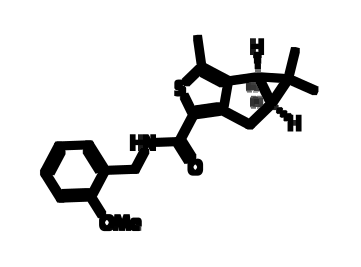 COc1ccccc1CNC(=O)c1sc(C)c2c1C[C@H]1[C@@H]2C1(C)C